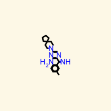 Cc1cccc(C(=N)c2ncc(N3CCC4(CCCC4)CC3)nc2N)c1